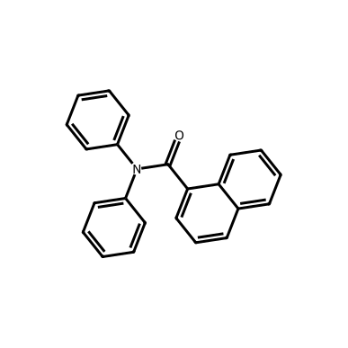 O=C(c1cccc2ccccc12)N(c1ccccc1)c1ccccc1